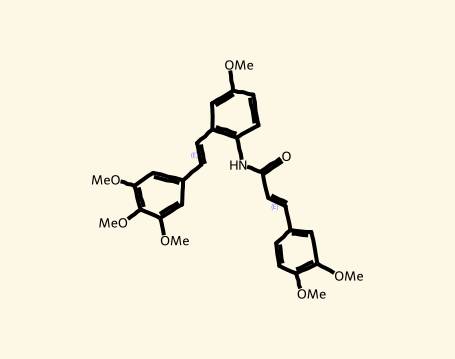 COc1ccc(NC(=O)/C=C/c2ccc(OC)c(OC)c2)c(/C=C/c2cc(OC)c(OC)c(OC)c2)c1